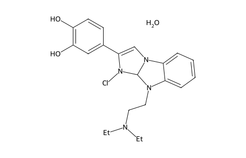 CCN(CC)CCN1c2ccccc2N2C=C(c3ccc(O)c(O)c3)N(Cl)C21.O